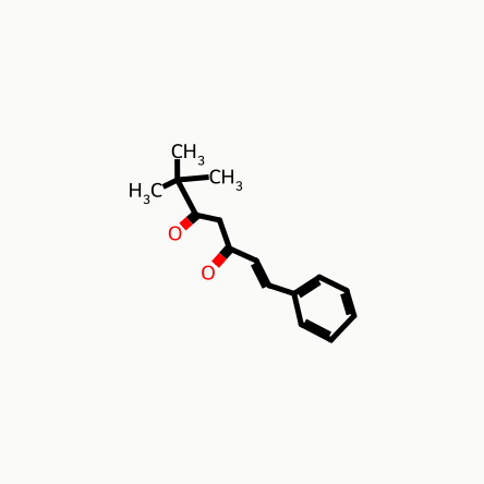 CC(C)(C)C(=O)CC(=O)/C=C/c1ccccc1